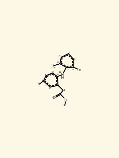 COC(=O)Cc1cc(C)ccc1Nc1c(F)cccc1Cl